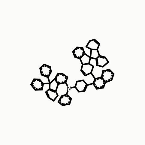 C1=CC2=C(CC1)c1c(N(c3ccccc3)C3CC=C(c4ccc5ccccc5c4C4C=CC5c6ccccc6C6(C7=CCCC=C7C7C=CCCC76)C5C4)CC3)cccc1C2(c1ccccc1)c1ccccc1